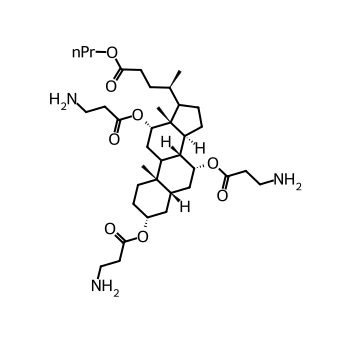 CCCOC(=O)CC[C@@H](C)C1CC[C@H]2[C@H]3C(C[C@H](OC(=O)CCN)[C@]12C)[C@@]1(C)CC[C@@H](OC(=O)CCN)C[C@H]1C[C@H]3OC(=O)CCN